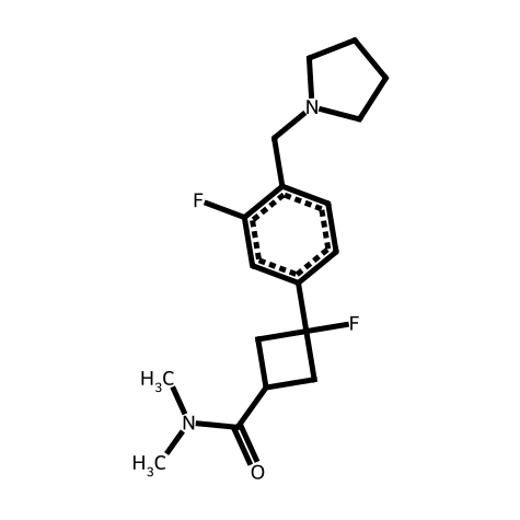 CN(C)C(=O)C1CC(F)(c2ccc(CN3CCCC3)c(F)c2)C1